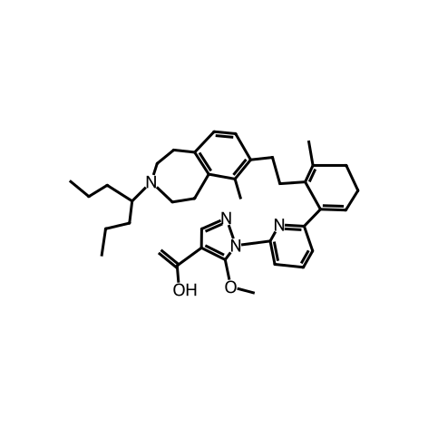 C=C(O)c1cnn(-c2cccc(C3=CCCC(C)=C3CCc3ccc4c(c3C)CCN(C(CCC)CCC)CC4)n2)c1OC